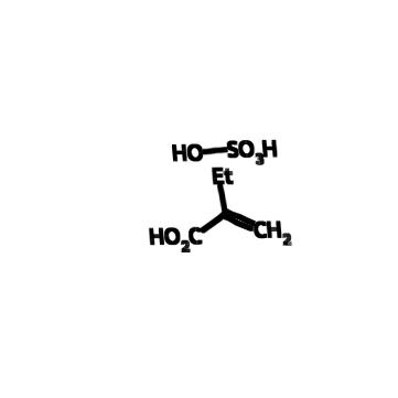 C=C(CC)C(=O)O.O=S(=O)(O)O